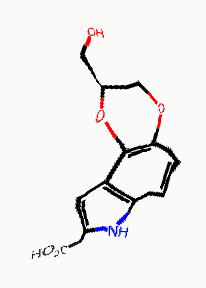 O=C(O)c1cc2c3c(ccc2[nH]1)OC[C@H](CO)O3